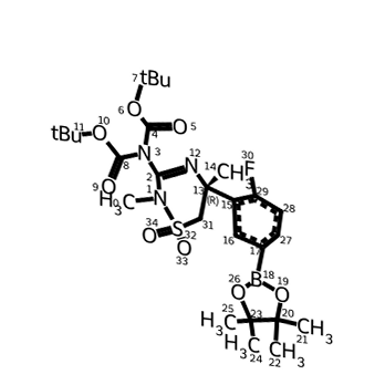 CN1C(N(C(=O)OC(C)(C)C)C(=O)OC(C)(C)C)=N[C@](C)(c2cc(B3OC(C)(C)C(C)(C)O3)ccc2F)CS1(=O)=O